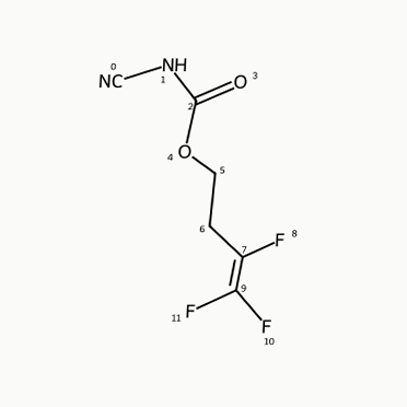 N#CNC(=O)OCCC(F)=C(F)F